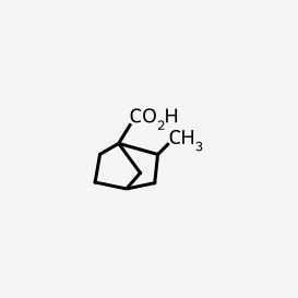 CC1CC2CCC1(C(=O)O)C2